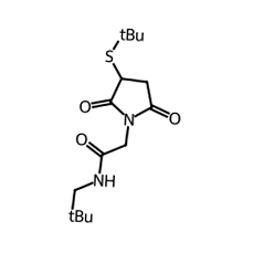 CC(C)(C)CNC(=O)CN1C(=O)CC(SC(C)(C)C)C1=O